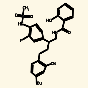 CC(C)(C)c1ccc(CCC(CNC(=O)c2ccccc2O)c2ccc(NS(C)(=O)=O)c(F)c2)c(C#N)c1